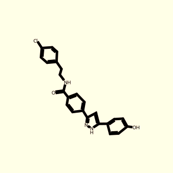 O=C(NCCc1ccc(Cl)cc1)c1ccc(-c2cc(-c3ccc(O)cc3)[nH]n2)cc1